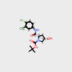 CC(C)(C)OC(=O)N1C[C@@H](O)C[C@H]1C(=O)Nc1ccc(F)c(Cl)c1